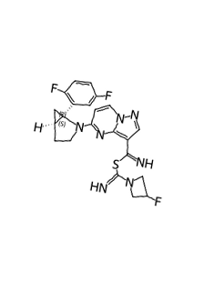 N=C(SC(=N)N1CC(F)C1)c1cnn2ccc(N3CC[C@H]4C[C@]43c3cc(F)ccc3F)nc12